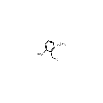 O=C(O)c1ccccc1CCl.[CaH2].[CaH2]